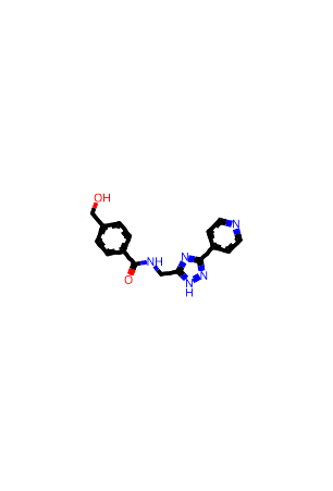 O=C(NCc1nc(-c2ccncc2)n[nH]1)c1ccc(CO)cc1